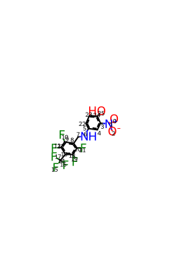 O=[N+]([O-])c1cc(NCc2c(F)c(F)c(C(F)(F)F)c(F)c2F)ccc1O